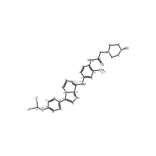 CCN1CCN(CC(=O)Nc2ccc(Nc3nccn4c(-c5ccc(OC(F)F)cc5)cnc34)cc2C)CC1